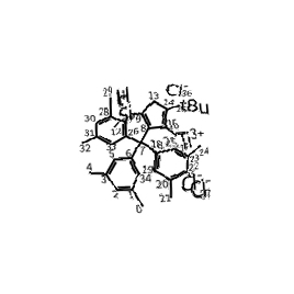 Cc1cc(C)cc(C(C2=C([SiH](C)C)CC(C(C)(C)C)=[C]2[Ti+3])(c2cc(C)cc(C)c2)c2cc(C)cc(C)c2)c1.[Cl-].[Cl-].[Cl-]